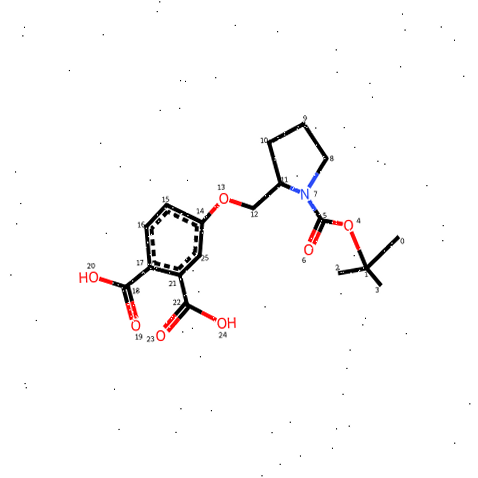 CC(C)(C)OC(=O)N1CCCC1COc1ccc(C(=O)O)c(C(=O)O)c1